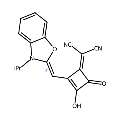 CC(C)N1/C(=C/C2=C(O)C(=O)C2=C(C#N)C#N)Oc2ccccc21